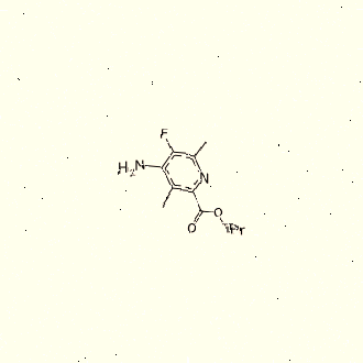 Cc1nc(C(=O)OC(C)C)c(C)c(N)c1F